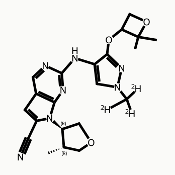 [2H]C([2H])([2H])n1cc(Nc2ncc3cc(C#N)n([C@H]4COC[C@@H]4C)c3n2)c(OC2COC2(C)C)n1